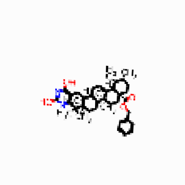 C[C@H]1[C@H](C)CC[C@]2(C(=O)OCc3ccccc3)CC[C@]3(C)C(=CC[C@@H]4[C@@]5(C)Cc6c(O)nc(O)nc6C(C)(C)[C@@H]5CC[C@]43C)[C@H]12